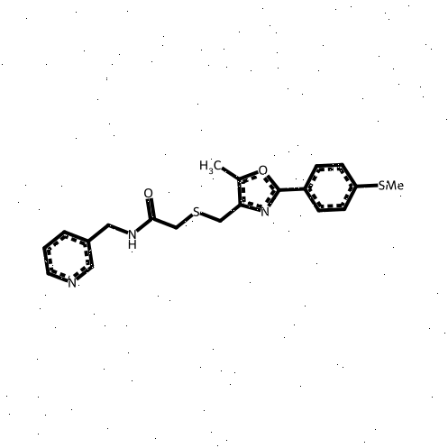 CSc1ccc(-c2nc(CSCC(=O)NCc3cccnc3)c(C)o2)cc1